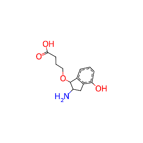 NC1Cc2c(O)cccc2C1OCCCC(=O)O